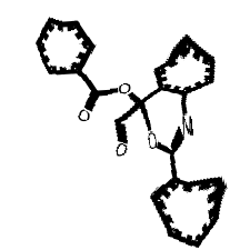 O=CC1(OC(=O)c2ccccc2)OC(c2ccccc2)=Nc2ccccc21